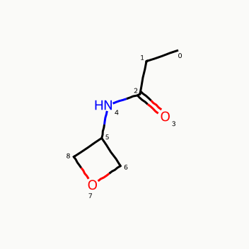 CCC(=O)NC1COC1